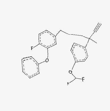 C#CC(C)(CCCc1ccc(F)c(Oc2ccccc2)c1)c1ccc(OC(F)F)cc1